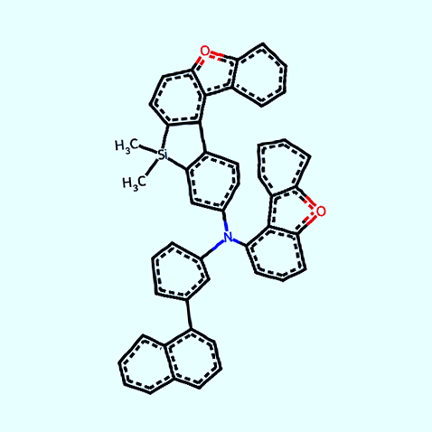 C[Si]1(C)c2cc(N(c3cccc(-c4cccc5ccccc45)c3)c3cccc4oc5ccccc5c34)ccc2-c2c1ccc1oc3ccccc3c21